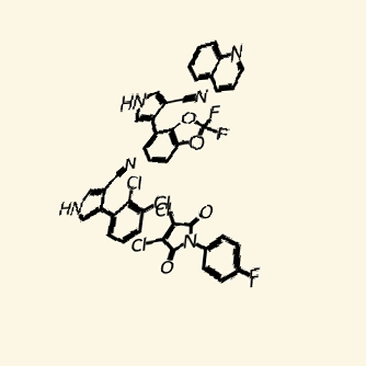 N#Cc1c[nH]cc1-c1cccc(Cl)c1Cl.N#Cc1c[nH]cc1-c1cccc2c1OC(F)(F)O2.O=C1C(Cl)=C(Cl)C(=O)N1c1ccc(F)cc1.c1ccc2ncccc2c1